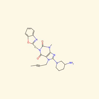 CC#CCn1c(N2CCCC(N)C2)nc2c1c(=O)n(Cc1nc3ccccc3o1)c(=O)n2C